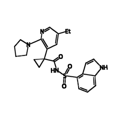 CCc1cnc(N2CCCC2)c(C2(C(=O)NS(=O)(=O)c3cccc4[nH]ccc34)CC2)c1